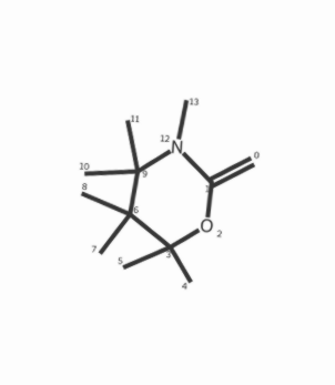 C=C1OC(C)(C)C(C)(C)C(C)(C)N1C